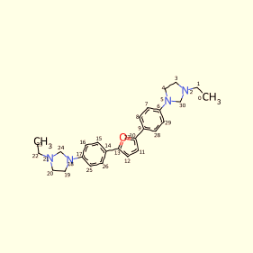 CCN1CCN(c2ccc(-c3ccc(-c4ccc(N5CCN(CC)C5)cc4)o3)cc2)C1